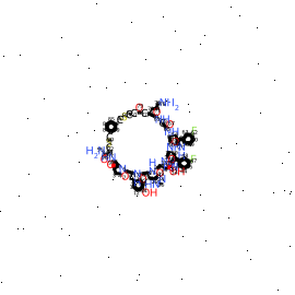 C[C@@]12CCCN1C(=O)[C@H](Cc1ccc(O)cc1)NC(=O)[C@H](Cc1cnc[nH]1)NC(=O)[C@H](CC(=O)O)NC(=O)[C@H](Cc1c[nH]c3ccc(F)cc13)NC(=O)[C@H](Cc1c[nH]c3ccc(F)cc13)NC(=O)CNC(=O)[C@H](CCCN)CC(=O)CCSCc1cccc(c1)CSC[C@@H](C(N)=O)NC2=O